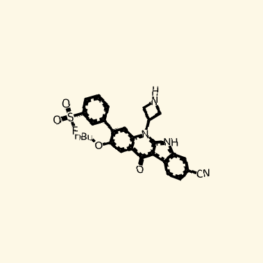 CCCCOc1cc2c(=O)c3c4ccc(C#N)cc4[nH]c3n(C3CNC3)c2cc1-c1cccc(S(=O)(=O)F)c1